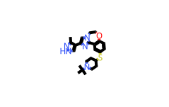 Cc1n[nH]cc1-c1cn2c(n1)-c1cc(SC3CCN(C(C)(C)C)CC3)ccc1OCC2